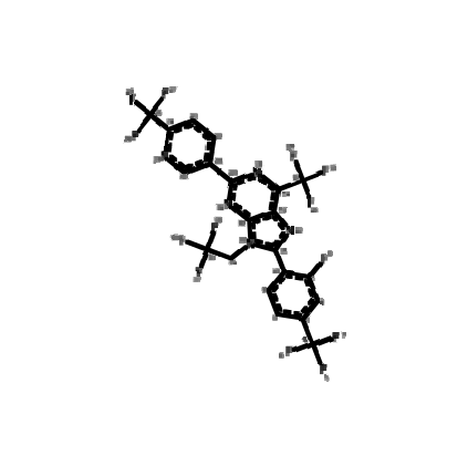 Fc1cc(C(F)(F)F)ccc1-c1nc2c(C(F)(F)F)nc(-c3ccc(C(F)(F)F)nc3)nc2n1CC(F)(F)F